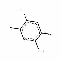 O=Cc1cc(I)c(C=O)cc1I